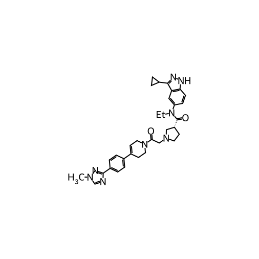 CCN(C(=O)[C@@H]1CCN(CC(=O)N2CC=C(c3ccc(-c4ncn(C)n4)cc3)CC2)C1)c1ccc2[nH]nc(C3CC3)c2c1